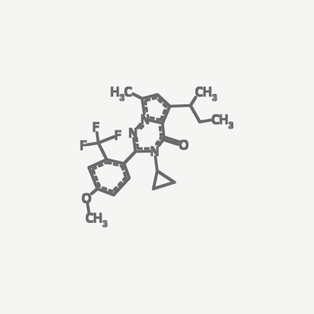 CCC(C)c1cc(C)n2nc(-c3ccc(OC)cc3C(F)(F)F)n(C3CC3)c(=O)c12